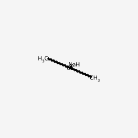 CCCCCCCCCCCCCCCCOC(=O)CCCCCCCCCCCCCCC.[NaH]